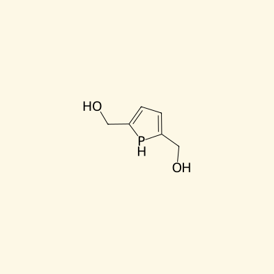 OCc1ccc(CO)[pH]1